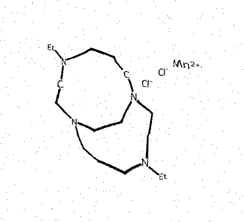 CCN1CCCN2CCN(CC)CCCN(CC1)CC2.[Cl-].[Cl-].[Mn+2]